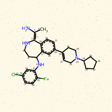 C/C(N)=C1/NCCC(Nc2cc(Cl)ccc2F)c2cc(C3=CCN(C4CCCC4)CC3)ccc21